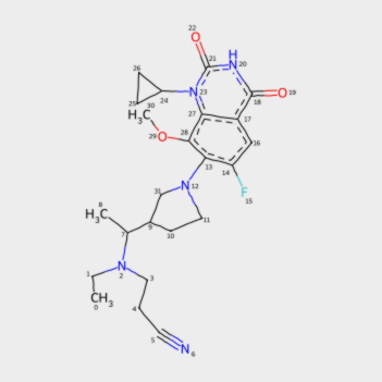 CCN(CCC#N)C(C)C1CCN(c2c(F)cc3c(=O)[nH]c(=O)n(C4CC4)c3c2OC)C1